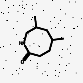 CC1CCC(=O)NCC(C)C1